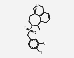 CC1C2CC=CC3=C2C(C)(CCN1S(=O)(=O)Cc1ccc(Cl)c(Cl)c1)COC3